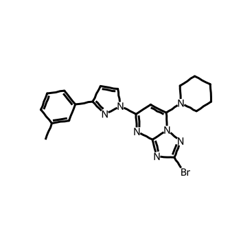 Cc1cccc(-c2ccn(-c3cc(N4CCCCC4)n4nc(Br)nc4n3)n2)c1